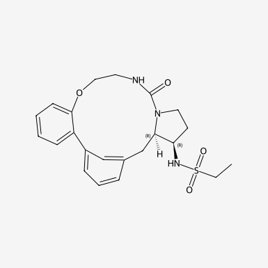 CCS(=O)(=O)N[C@@H]1CCN2C(=O)NCCOc3ccccc3-c3cccc(c3)C[C@H]12